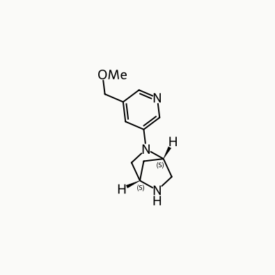 COCc1cncc(N2C[C@@H]3C[C@H]2CN3)c1